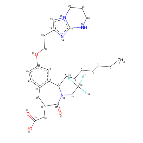 CCCCCCCC1c2cc(OCCc3cn4c(n3)NCCC4)ccc2CC(CC(=O)O)C(=O)N1CC(F)(F)F